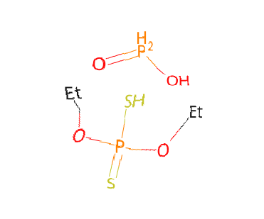 CCOP(=S)(S)OCC.O=[PH2]O